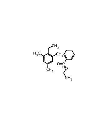 CCc1c(C)cc(C)cc1C.NCO[PH](=O)c1ccccc1